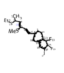 CCSC(C)/C=C(/C#Cc1ccc2c(F)c(F)c(I)cc2c1)SC